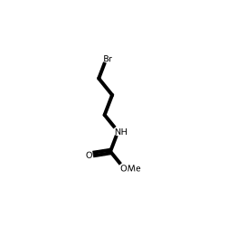 COC(=O)NCCCBr